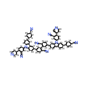 N#Cc1ccc(-c2ccc3c(c2)c2cc(-c4ccc(C#N)c(-c5cc(-c6ccc7c8ccc(-c9ccc(C#N)cc9)cc8n(-c8ccc(-c9ccncc9)c(C#N)c8)c7c6)ccc5C#N)c4)ccc2n3-c2ccc(-c3ccncc3)c(C#N)c2)cc1